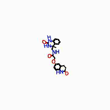 CC1(CNC(=O)COc2ccc3c(c2)CCC(=O)N3)NC(=O)Nc2ccccc21